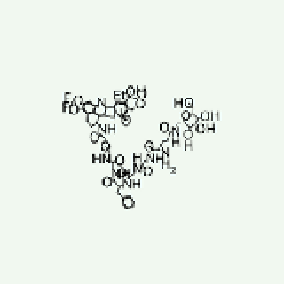 CC[C@@]1(O)C(=O)OCc2c1cc1n(c2=O)Cc2c-1nc1cc3c(c4c1c2[C@@H](NC(=O)COCNC(=O)CNC(=O)[C@H](Cc1ccccc1)NC(=O)CNC(=O)CNC(=O)[C@@H](N)CCC(=O)NC[C@@H]1O[C@H](CO)[C@@H](O)[C@H](O)[C@H]1O)CC4)OC(F)(F)O3